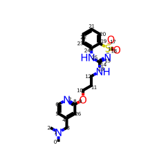 CN(C)Cc1ccnc(OCCCNC2=NS(=O)(=O)c3ccccc3N2)c1